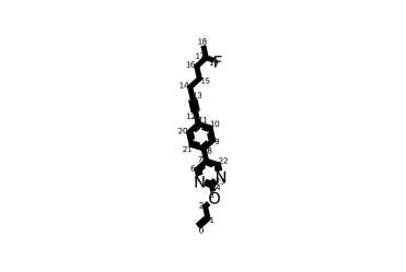 C=CCOc1ncc(-c2ccc(C#CCCCC(C)F)cc2)cn1